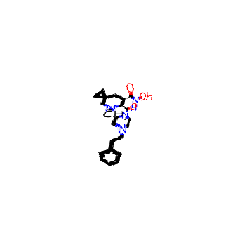 CN1CC2(CC2)C[C@H](C(=O)NO)[C@H]1C(=O)N1CCN(CCc2ccccc2)CC1